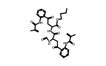 C=C(C)C(=O)Nc1ccccc1C(=O)CC(NC=O)C(=O)NC(CC(=O)c1ccccc1NC(=O)C(=C)C)C(=O)OCCCC